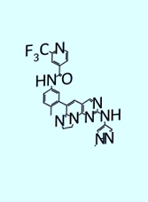 Cc1ccc(NC(=O)c2ccnc(C(F)(F)F)c2)cc1C1=Cc2cnc(Nc3cnn(C)c3)nc2N2CCN=C12